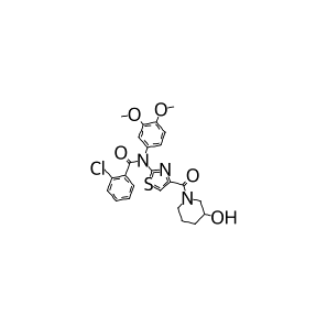 COc1ccc(N(C(=O)c2ccccc2Cl)c2nc(C(=O)N3CCCC(O)C3)cs2)cc1OC